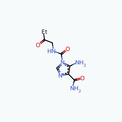 CCC(=O)CNC(=O)n1cnc(C(N)=O)c1N